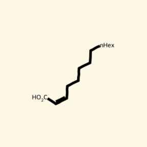 CCCCCCCCCCC/C=C\C(=O)O